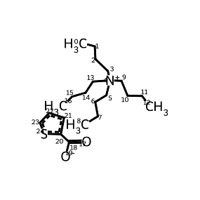 CCCC[N+](CCCC)(CCCC)CCCC.O=C([O-])c1cccs1